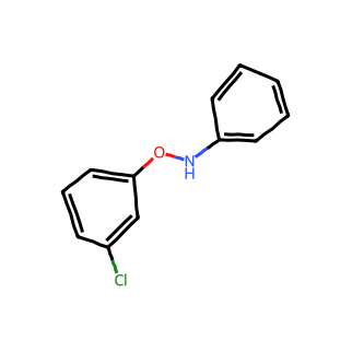 Clc1cccc(ONc2ccccc2)c1